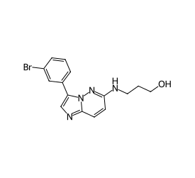 OCCCNc1ccc2ncc(-c3cccc(Br)c3)n2n1